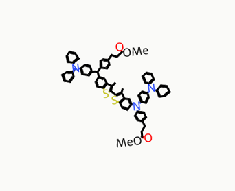 COC(=O)CCc1ccc(C(c2ccc(N(c3ccccc3)c3ccccc3)cc2)c2ccc3sc(-c4sc5ccc(N(c6ccc(CCC(=O)OC)cc6)c6ccc(N(c7ccccc7)c7ccccc7)cc6)cc5c4C)c(C)c3c2)cc1